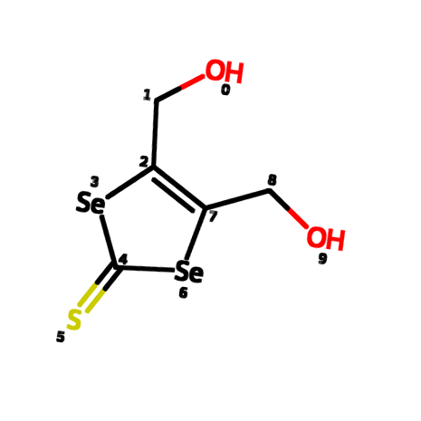 OCc1[se]c(=S)[se]c1CO